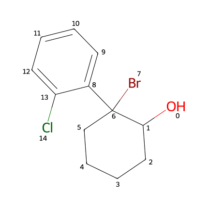 OC1CCCCC1(Br)c1ccccc1Cl